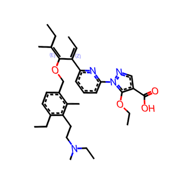 C/C=C(\C(OCc1ccc(CC)c(CCN(C)CC)c1C)=C(\C)CC)c1cccc(-n2ncc(C(=O)O)c2OCC)n1